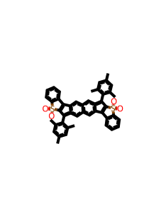 Cc1cc(C)c(C2=c3cc4cc5c(cc4cc3C3=C2S(=O)(=O)c2ccccc23)=C(c2c(C)cc(C)cc2C)C2=C5c3ccccc3S2(=O)=O)c(C)c1